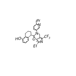 CCc1nc(C(F)(F)F)c(CN(C(=O)C2CCCc3c(O)cccc32)c2ccc(C(C)C)nc2)s1